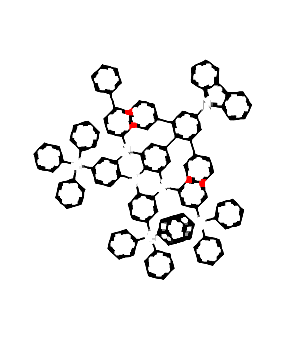 c1ccc(-c2ccc(N3c4cc([Si](c5ccccc5)(c5ccccc5)c5ccccc5)ccc4B4c5ccc([Si](c6ccccc6)(c6ccccc6)c6ccccc6)cc5N(c5cccc([Si](c6ccccc6)(c6ccccc6)c6ccccc6)c5)c5cc(-c6c(-c7ccccc7)cc(-n7c8ccccc8c8ccccc87)cc6-c6ccccc6)cc3c54)cc2)cc1